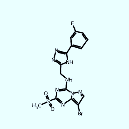 CS(=O)(=O)c1nc(NCc2nnc(-c3cccc(F)c3)[nH]2)n2ncc(Br)c2n1